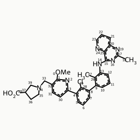 COc1nc(-c2cccc(-c3cccc(Nc4nc(C)nc5cccnc45)c3C)c2Cl)ccc1CN1CCC(C(=O)O)C1